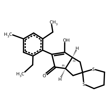 CCc1cc(C)cc(CC)c1C1=C(O)[C@H]2CC3(C[C@H]2C1=O)SCCCS3